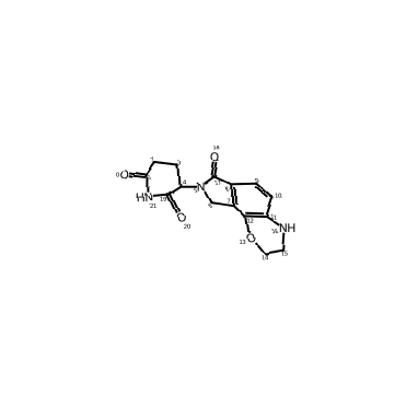 O=C1CCC(N2Cc3c(ccc4c3OCCN4)C2=O)C(=O)N1